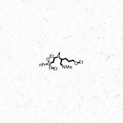 CCC[Si](CCN(C)C(CCCOCC)CNC)(OCC)OCC